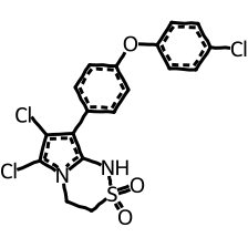 O=S1(=O)CCn2c(Cl)c(Cl)c(-c3ccc(Oc4ccc(Cl)cc4)cc3)c2N1